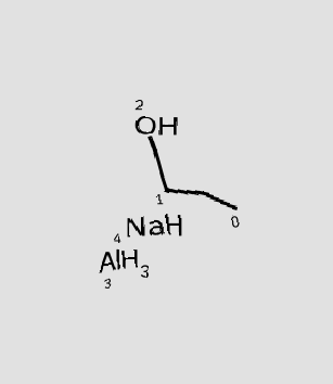 CCO.[AlH3].[NaH]